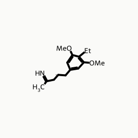 CCc1c(OC)cc(C[CH]CC(C)=N)cc1OC